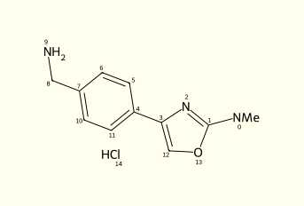 CNc1nc(-c2ccc(CN)cc2)co1.Cl